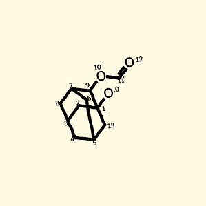 [O]C12CC3CC(CC(C3)C1O[C]=O)C2